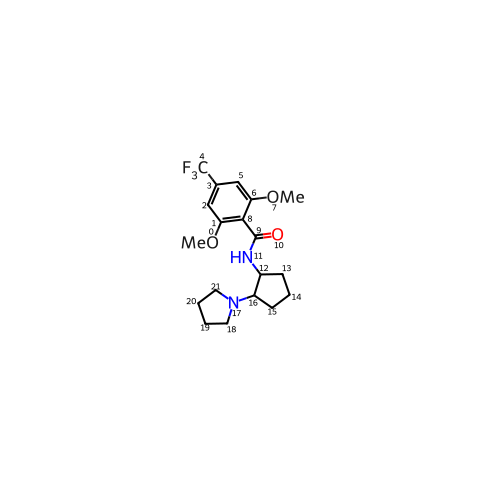 COc1cc(C(F)(F)F)cc(OC)c1C(=O)NC1CCCC1N1CCCC1